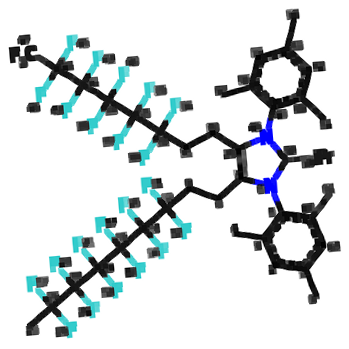 Cc1cc(C)c(N2C(CCC(F)(F)C(F)(F)C(F)(F)C(F)(F)C(F)(F)C(C)(F)F)=C(CCC(F)(F)C(F)(F)C(F)(F)C(F)(F)C(F)(F)C(F)(F)F)N(c3c(C)cc(C)cc3C)C2C(C)C)c(C)c1